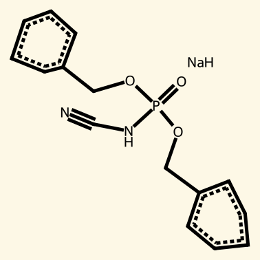 N#CNP(=O)(OCc1ccccc1)OCc1ccccc1.[NaH]